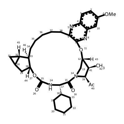 COc1ccc2nc3c(nc2c1)O[C@H]1CN(C(=O)[C@H](C2CCCCC2)NC(=O)O[C@@H]2CC4C[C@@H]4[C@H]2CCCCC3)[C@H](C(C)=O)[C@@H]1C